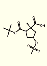 CC(C)(C)OC(=O)N1C[C@H](OS(C)(=O)=O)C[C@@]1(C)C(=O)O